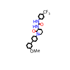 COc1cccc(-c2ccc(N3CCC=C(NC(=O)Nc4ccc(C(F)(F)F)cc4)C3=O)cc2)c1